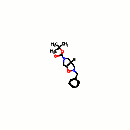 CC(C)(C)OC(=O)N1CC2ON(Cc3ccccc3)C[C@H]2C1